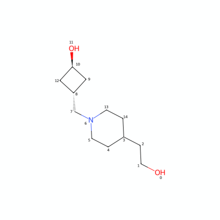 OCCC1CCN(C[C@H]2C[C@H](O)C2)CC1